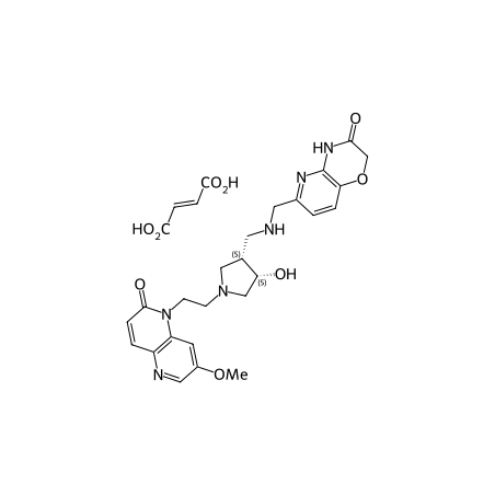 COc1cnc2ccc(=O)n(CCN3C[C@H](CNCc4ccc5c(n4)NC(=O)CO5)[C@H](O)C3)c2c1.O=C(O)C=CC(=O)O